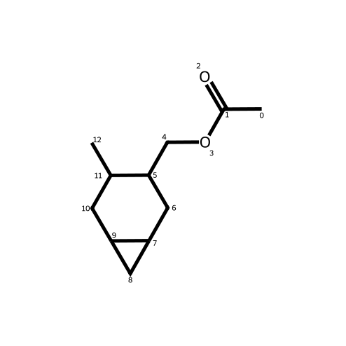 CC(=O)OCC1CC2CC2CC1C